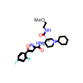 COCCNC(=O)[C@@H]1CN(C2CCCCC2)CC[C@H]1NC(=O)c1cc(-c2ccc(F)cc2F)on1